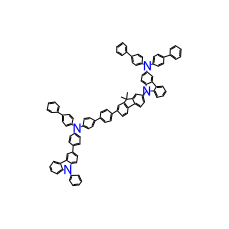 CC1(C)c2cc(-c3ccc(-c4ccc(N(c5ccc(-c6ccccc6)cc5)c5ccc(-c6ccc7c(c6)c6ccccc6n7-c6ccccc6)cc5)cc4)cc3)ccc2-c2ccc(-n3c4ccccc4c4cc(N(c5ccc(-c6ccccc6)cc5)c5ccc(-c6ccccc6)cc5)ccc43)cc21